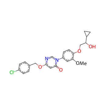 COc1cc(-n2cnc(OCc3ccc(Cl)cc3)cc2=O)ccc1OCC(O)C1CC1